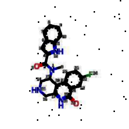 CN(C(=O)c1cc2ccccc2[nH]1)C1CNCc2[nH]c(=O)c3cc(F)ccc3c21